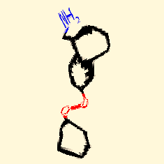 NCC1=CCCc2cc(OOC3CCCCC3)ccc21